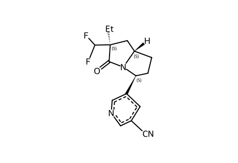 CC[C@]1(C(F)F)C[C@@H]2CC[C@@H](c3cncc(C#N)c3)N2C1=O